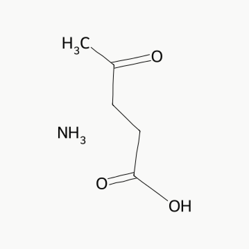 CC(=O)CCC(=O)O.N